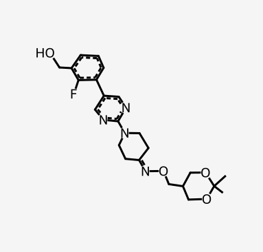 CC1(C)OCC(CON=C2CCN(c3ncc(-c4cccc(CO)c4F)cn3)CC2)CO1